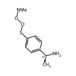 CNOOSc1ccc([C@H](C)N)cc1